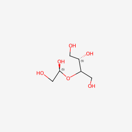 OCC(O[C@H](O)CO)[C@@H](O)CO